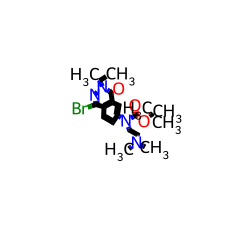 CC(C)n1nc(Br)c2ccc(N(CCN(C)C)C(=O)OC(C)(C)C)cc2c1=O